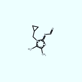 Cc1s/c(=N\C=O)n(CC2CC2)c1C